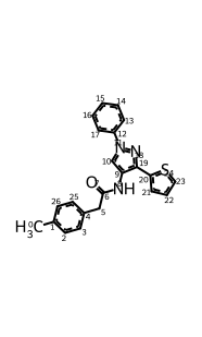 Cc1ccc(CC(=O)Nc2cn(-c3ccccc3)nc2-c2cccs2)cc1